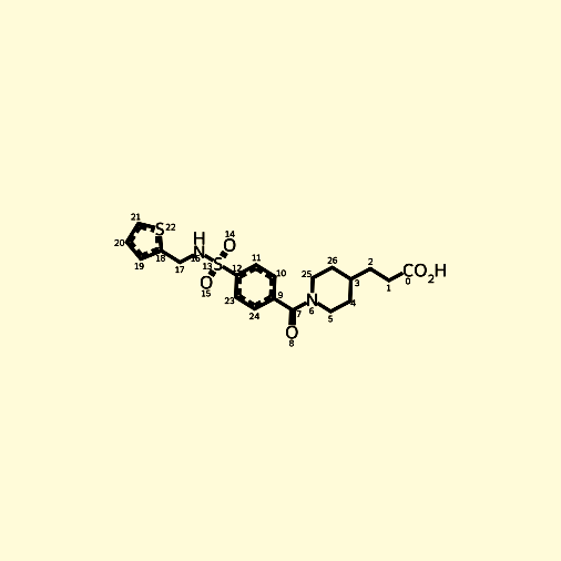 O=C(O)CCC1CCN(C(=O)c2ccc(S(=O)(=O)NCc3cccs3)cc2)CC1